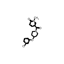 Cn1cc(C(=O)N2CCC(Oc3cccc(Cl)c3)CC2)ccc1=O